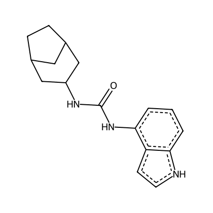 O=C(Nc1cccc2[nH]ccc12)NC1CC2CCC(C2)C1